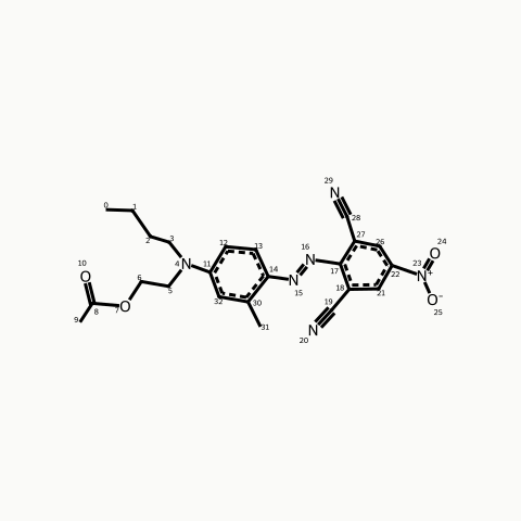 CCCCN(CCOC(C)=O)c1ccc(/N=N/c2c(C#N)cc([N+](=O)[O-])cc2C#N)c(C)c1